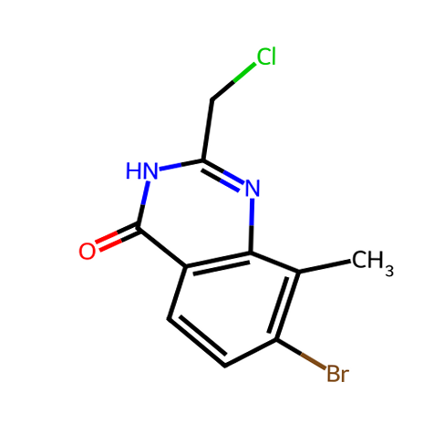 Cc1c(Br)ccc2c(=O)[nH]c(CCl)nc12